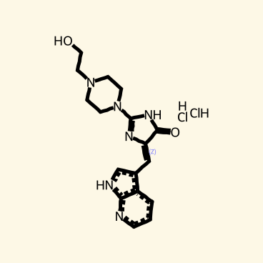 Cl.Cl.O=C1NC(N2CCN(CCO)CC2)=N/C1=C\c1c[nH]c2ncccc12